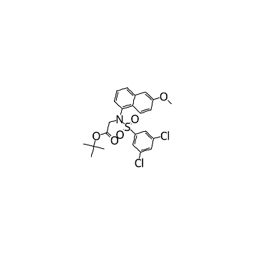 COc1ccc2c(N(CC(=O)OC(C)(C)C)S(=O)(=O)c3cc(Cl)cc(Cl)c3)cccc2c1